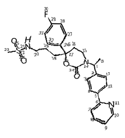 C[C@@H](c1ccc(-c2ccccn2)cc1)N1CC[C@@](CCCNS(C)(=O)=O)(c2ccc(F)cc2)OC1=O